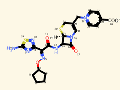 Nc1nc(C(=NOC2CCCC2)C(=O)NC2C(=O)N3C=C(C[n+]4ccc(C(=O)[O-])cc4)CS[C@H]23)ns1